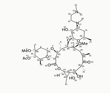 CO[C@]1(C)C[C@H](O[C@H]2[C@H](C)[C@@H](O[C@@H]3O[C@H](C)C[C@H](N(C)CCN(C)C)[C@H]3O)[C@@](C)(OC)C[C@@H](C)C(=O)[C@H](C)[C@@H](O)[C@@]3(O)C(C)[C@H]3OC(=O)[C@@H]2C)O[C@@H](C)[C@@H]1OC(C)=O